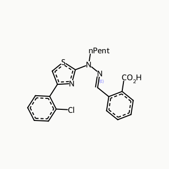 CCCCCN(/N=C/c1ccccc1C(=O)O)c1nc(-c2ccccc2Cl)cs1